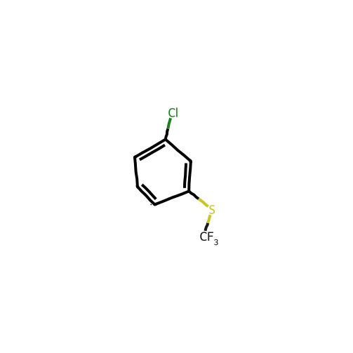 FC(F)(F)Sc1[c]ccc(Cl)c1